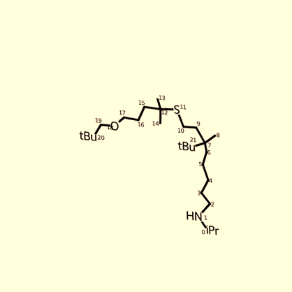 CC(C)NCCCCCC(C)(CCSC(C)(C)CCCOCC(C)(C)C)C(C)(C)C